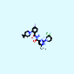 Cc1cc(C(=O)N(N)C(=O)c2ccc(I)cc2N2CCC3(CC2)CC3)nc(N2CCCC(F)(F)C2)n1